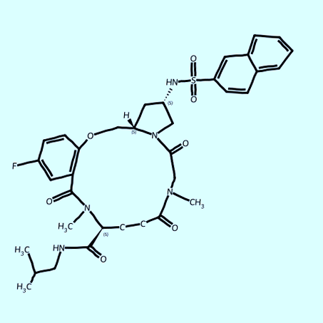 CC(C)CNC(=O)[C@@H]1CCC(=O)N(C)CC(=O)N2C[C@@H](NS(=O)(=O)c3ccc4ccccc4c3)C[C@H]2COc2ccc(F)cc2C(=O)N1C